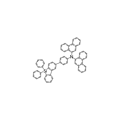 c1ccc([Si]2(c3ccccc3)c3ccccc3-c3cc(-c4ccc(N(c5cc6ccccc6c6ccccc56)c5cc6ccccc6c6ccccc56)cc4)ccc32)cc1